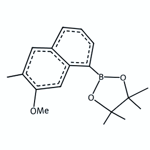 COc1cc2c(B3OC(C)(C)C(C)(C)O3)cccc2cc1C